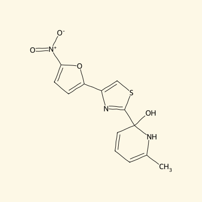 CC1=CC=CC(O)(c2nc(-c3ccc([N+](=O)[O-])o3)cs2)N1